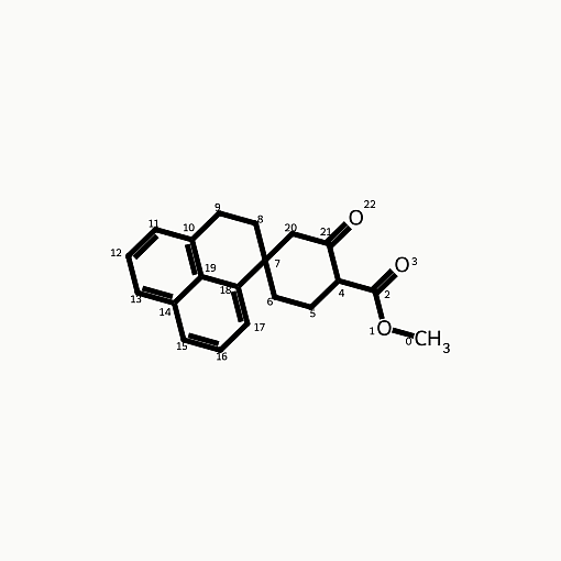 COC(=O)C1CCC2(CCc3cccc4cccc2c34)CC1=O